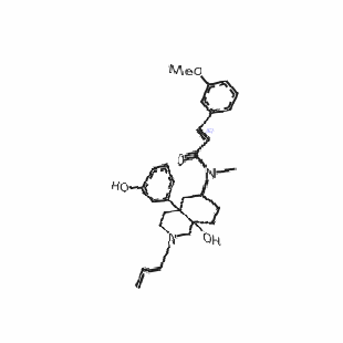 C=CCN1CCC2(c3cccc(O)c3)CC(N(C)C(=O)/C=C/c3cccc(OC)c3)CCC2(O)C1